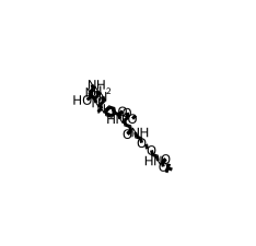 COC(=O)C(CCC(=O)NCCOCCOCCNC(=O)OC(C)(C)C)NC(=O)c1ccc(N(C)c2cnc3nc(N)nc(O)c3n2)cc1